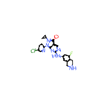 O=c1c2cnc(Nc3cc(F)c4c(c3)CNCC4)nc2n(-c2ccc(Cl)cn2)n1C1CC1